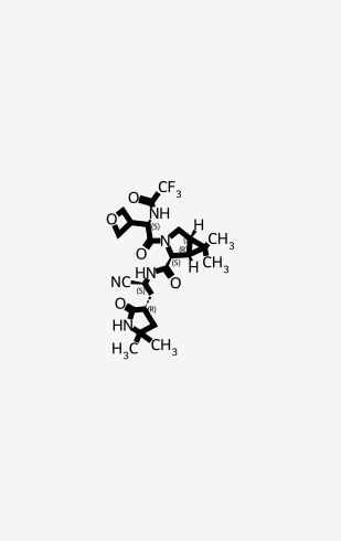 CC1(C)C[C@@H](C[C@@H](C#N)NC(=O)[C@@H]2[C@@H]3[C@H](CN2C(=O)[C@@H](NC(=O)C(F)(F)F)C2COC2)C3(C)C)C(=O)N1